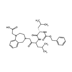 CC(C)CC(NC(=O)[C@H](CC(C)C)NC(=O)OCc1ccccc1)C(=O)CN1CCN(CC(=O)O)c2ccccc2C1